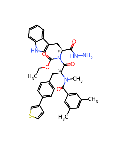 CCOC(=O)N(C(=O)[C@H](Cc1ccc(-c2ccsc2)cc1)N(C)C(=O)c1cc(C)cc(C)c1)[C@@H](Cc1c[nH]c2ccccc12)C(=O)NN